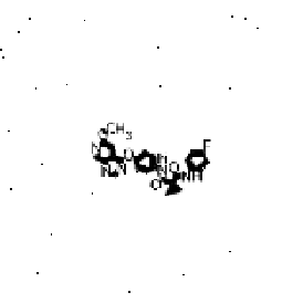 COc1cc2c(Oc3ccc(NC(=O)C4(C(=O)Nc5ccc(F)cc5)CC4)cc3)ncnc2cn1